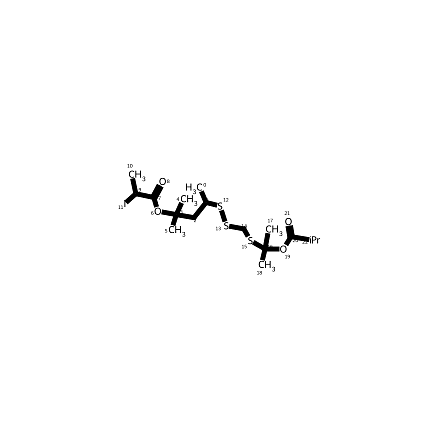 CC(CC(C)(C)OC(=O)C(C)I)SSCSC(C)(C)OC(=O)C(C)C